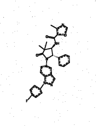 Cc1ncoc1C(=O)N[C@H]1[C@H](c2ccccc2)N(c2ccc3c(cnn3-c3ccc(F)cc3)c2)C(=O)C1(C)C